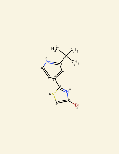 CC(C)(C)c1cc(-c2nc(Br)cs2)ccn1